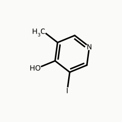 Cc1cncc(I)c1O